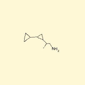 CC(CN)C1CC1C1CC1